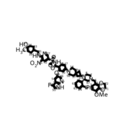 COc1ccc(CN2CCN(C3CC4(CCN(c5ccc(C(=O)NS(=O)(=O)c6cnc(NCC7CCC(C)(O)CC7)c([N+](=O)[O-])c6)c(Oc6cnc7[nH]cc(F)c7c6)c5)CC4)C3)[C@H](c3ccccc3C(C)C)C2)c2c1OCCO2